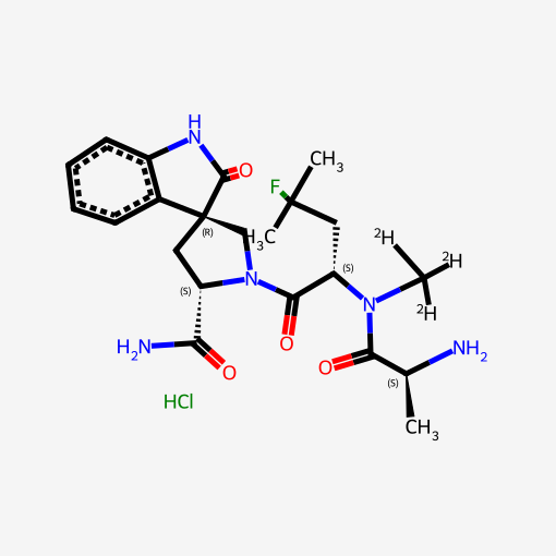 Cl.[2H]C([2H])([2H])N(C(=O)[C@H](C)N)[C@@H](CC(C)(C)F)C(=O)N1C[C@]2(C[C@H]1C(N)=O)C(=O)Nc1ccccc12